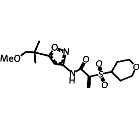 C=C(C(=O)Nc1cc(C(C)(C)COC)on1)S(=O)(=O)C1CCOCC1